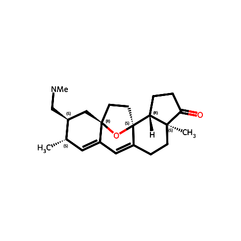 CNC[C@H]1C[C@@]23CC[C@@]4(O2)C(=CC3=C[C@@H]1C)CC[C@]1(C)C(=O)CC[C@H]14